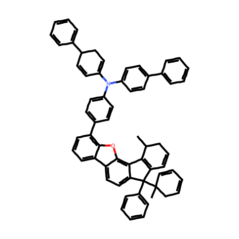 CC1CC=CC2=C1c1c(ccc3c1oc1c(-c4ccc(N(C5=CCC(c6ccccc6)C=C5)c5ccc(-c6ccccc6)cc5)cc4)cccc13)C2(c1ccccc1)C1(C)C=CC=CC1